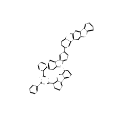 c1ccc(-c2nc(-c3ccccc3)nc(-c3cccc4c3sc3c(-n5c6ccccc6c6cc(-c7ccc8sc9cc%10c(cc9c8c7)sc7ccccc7%10)ccc65)cccc34)n2)cc1